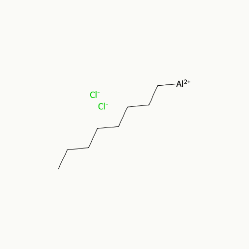 CCCCCCC[CH2][Al+2].[Cl-].[Cl-]